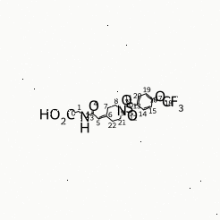 O=C(O)CNC(=O)C=C1CCN(S(=O)(=O)c2ccc(OC(F)(F)F)cc2)CC1